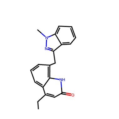 CCc1cc(=O)[nH]c2c(Cc3nn(C)c4ccccc34)cccc12